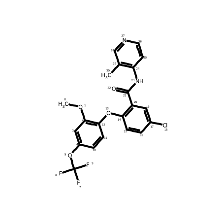 COc1cc(OC(F)(F)F)ccc1Oc1ccc(Cl)cc1C(=O)Nc1ccncc1C